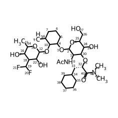 CC(=O)NC1C(OC2CCCC(C)C2OC2OC(C)C(O)C(C(F)F)C2O)OC(CO)C(O)C1O[C@@H](CC1CCCCC1)C(=O)N(C)C